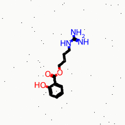 N=C(N)NCCCCOC(=O)c1ccccc1O